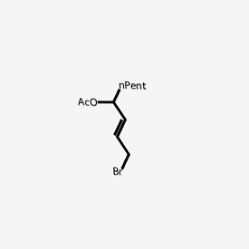 CCCCCC(/C=C/CBr)OC(C)=O